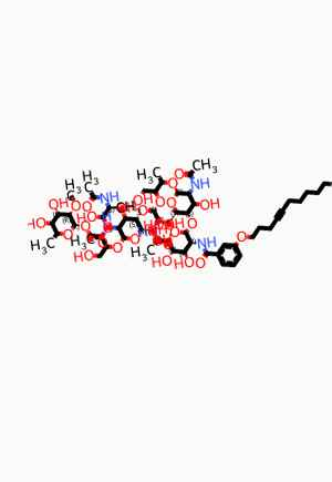 CCCCCCC#CCCCOc1cccc(C(=O)N[C@H]2C(O[C@H]3C(O)C(NC(C)=O)[C@H](OC(C)C(CO)O[C@@H](O[C@H]4C(O)C(NC(C)=O)C(OC(CO)C(CO[C@@H]5OC(C)C(O)[C@H](O)[C@H]5OC)OC(O)[C@H](C)NC(C)=O)O[C@H]4CO)[C@H](O)NC(C)=O)O[C@H]3CO)OC(CO)[C@@H](O)[C@@H]2O)c1